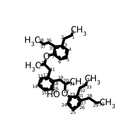 CCCc1cccc(OC(C)Cc2cccc(O)c2CC(C)Oc2cccc(CCC)c2CCC)c1CCC